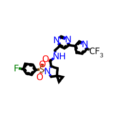 O=C(NCc1cc(-c2ccc(C(F)(F)F)nc2)ncn1)C1CC2(CC2)CN1S(=O)(=O)c1ccc(F)cc1